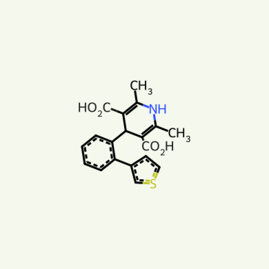 CC1=C(C(=O)O)C(c2ccccc2-c2ccsc2)C(C(=O)O)=C(C)N1